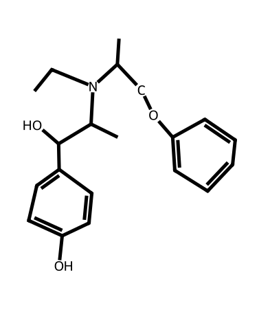 CCN(C(C)COc1ccccc1)C(C)C(O)c1ccc(O)cc1